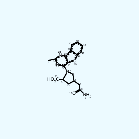 Cc1nc(N2CC(CC(N)=O)CC2C(=O)O)c2oc3ccccc3c2n1